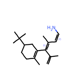 C=C(C)/C(C1=C(C)CCC(C(C)(C)C)C1)=C(C)\C=C/N